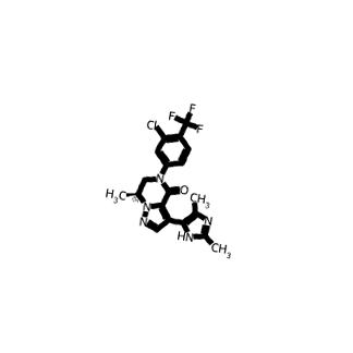 Cc1nc(C)c(-c2cnn3c2C(=O)N(c2ccc(C(F)(F)F)c(Cl)c2)C[C@@H]3C)[nH]1